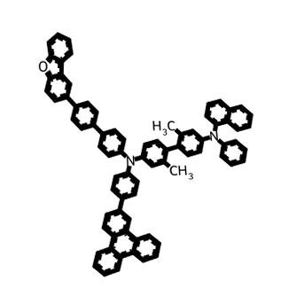 Cc1cc(N(c2ccc(-c3ccc(-c4ccc5oc6ccccc6c5c4)cc3)cc2)c2ccc(-c3ccc4c5ccccc5c5ccccc5c4c3)cc2)ccc1-c1ccc(N(c2ccccc2)c2cccc3ccccc23)cc1C